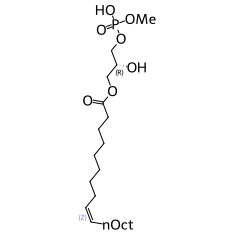 CCCCCCCC/C=C\CCCCCCCC(=O)OC[C@@H](O)COP(=O)(O)OC